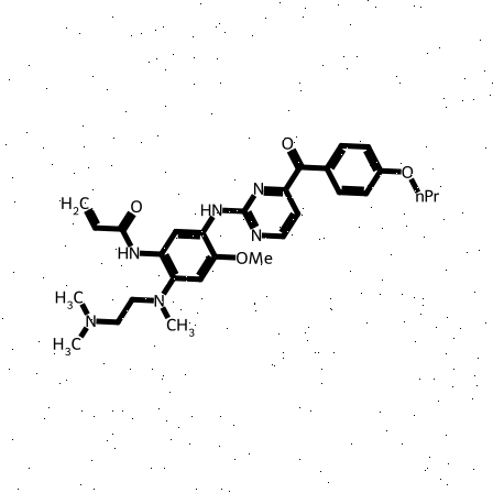 C=CC(=O)Nc1cc(Nc2nccc(C(=O)c3ccc(OCCC)cc3)n2)c(OC)cc1N(C)CCN(C)C